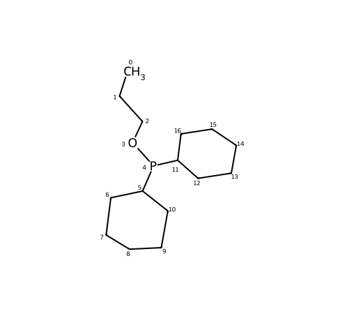 CCCOP(C1CCCCC1)C1CCCCC1